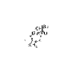 CC1(F)CCC[C@](C)(C(=O)C(C)(C)C)OC1